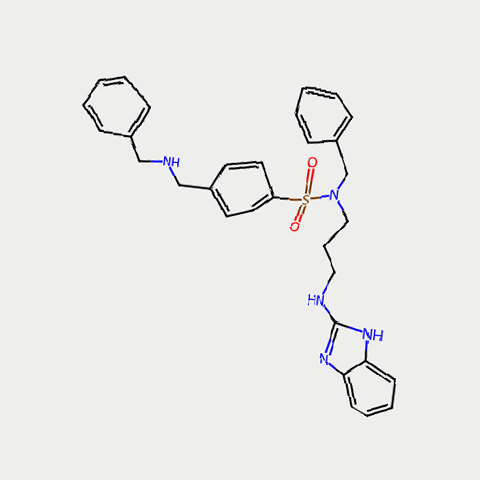 O=S(=O)(c1ccc(CNCc2ccccc2)cc1)N(CCCNc1nc2ccccc2[nH]1)Cc1ccccc1